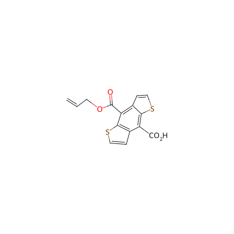 C=CCOC(=O)c1c2ccsc2c(C(=O)O)c2ccsc12